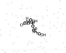 O=C(Nc1c(O)cccc1C(=O)Nc1ccc(Cl)cn1)c1ccc(-c2ccnn(CCN3CCC(O)CC3)c2=O)cc1